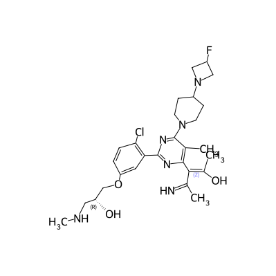 CNC[C@@H](O)COc1ccc(Cl)c(-c2nc(/C(C(C)=N)=C(\C)O)c(C)c(N3CCC(N4CC(F)C4)CC3)n2)c1